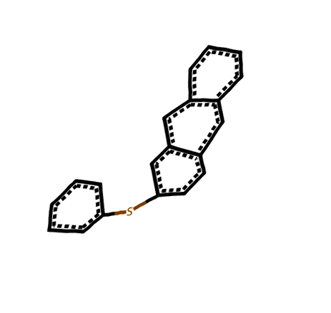 c1ccc(Sc2ccc3cc4ccccc4cc3c2)cc1